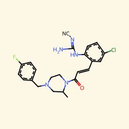 CC1CN(Cc2ccc(F)cc2)CCN1C(=O)C=Cc1cc(Cl)ccc1NC(N)=NC#N